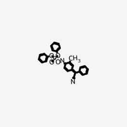 CC1=CC(=C(/C#N)c2ccccc2)/C=CC/1=N\OP(=O)(Oc1ccccc1)Oc1ccccc1